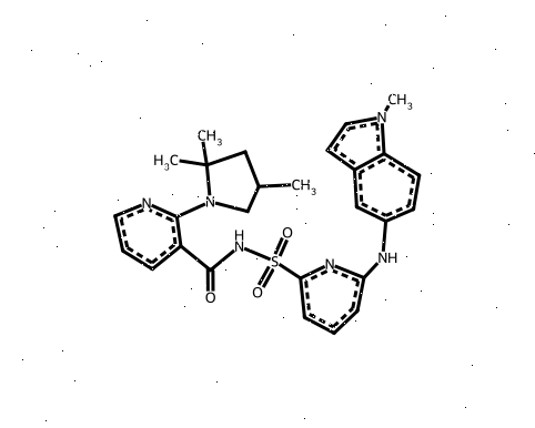 CC1CN(c2ncccc2C(=O)NS(=O)(=O)c2cccc(Nc3ccc4c(ccn4C)c3)n2)C(C)(C)C1